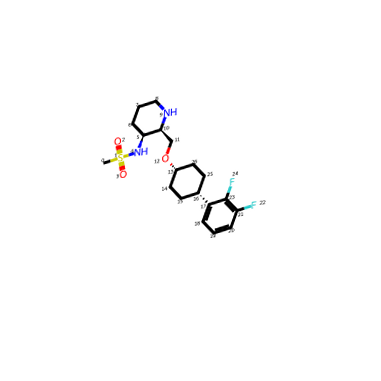 CS(=O)(=O)N[C@H]1CCCN[C@H]1CO[C@H]1CC[C@@H](c2cccc(F)c2F)CC1